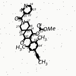 CC#Cc1cc(C)c(C2=C(OC(=O)OC)CC3(CCN(C(=O)c4cccnn4)CC3)CC2=O)c(C)c1